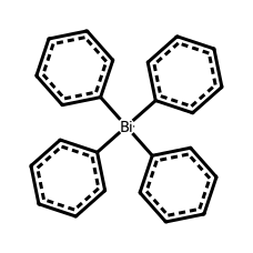 c1cc[c]([Bi]([c]2ccccc2)([c]2ccccc2)[c]2ccccc2)cc1